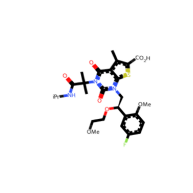 COCCO[C@@H](Cn1c(=O)n(C(C)(C)C(=O)NC(C)C)c(=O)c2c(C)c(C(=O)O)sc21)c1cc(F)ccc1OC